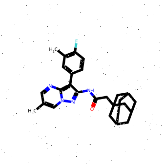 Cc1cnc2c(-c3ccc(F)c(C)c3)c(NC(=O)CC34CC5CC(CC(C5)C3)C4)nn2c1